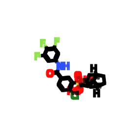 O=C(O)C[C@@]1(O)[C@@H]2CC[C@H]1C[C@H](S(=O)(=O)c1cc(C(=O)Nc3cc(F)c(F)c(F)c3)ccc1Cl)C2